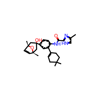 Cc1c[nH]c(C(=O)Nc2ccc([C@@]3(O)C[C@]4(C)C=C[C@](C)(C3)O4)cc2C2=CCC(C)(C)CC2)n1